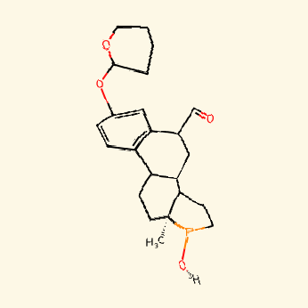 [3H]OP1CCC2C3CC(C=O)c4cc(OC5CCCCO5)ccc4C3CC[C@@]21C